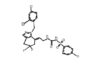 O=C(NC/C=C1\CC(F)(F)Cc2cnn(Cc3ccc(Cl)cc3Cl)c21)NS(=O)(=O)c1ccc(Cl)cc1